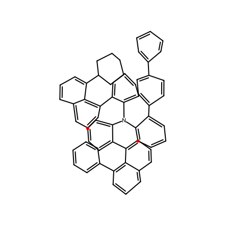 c1ccc(-c2ccc(-c3ccccc3N(c3ccccc3-c3cccc4cccc(-c5ccccc5)c34)c3ccccc3-c3cccc4cccc(C5CCCCC5)c34)cc2)cc1